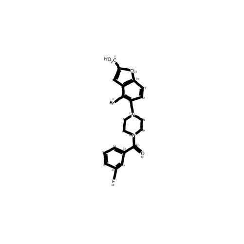 O=C(O)c1cc2c(Br)c(N3CCN(C(=O)c4cccc(F)c4)CC3)ccc2o1